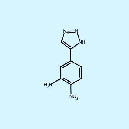 Nc1cc(-c2cnn[nH]2)ccc1[N+](=O)[O-]